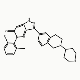 Cc1cccc(F)c1-n1nc2c(-c3ccc4c(c3)CCN(C3CCOCC3)C4)n[nH]c2cc1=O